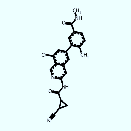 CNC(=O)c1ccc(C)c(-c2cc(Cl)c3cnc(NC(=O)C4CC4C#N)cc3c2)c1